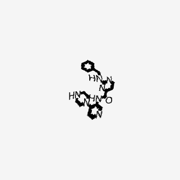 O=C(Nc1cnccc1N1CCNCC1)c1ccnc(NCc2ccccc2)n1